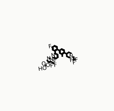 Cc1cc(-c2ccc(F)cc2-c2cccc(-n3ncc(OC(=O)O)c3C(F)(F)F)n2)ccc1C1CCN(CC(F)(F)F)CC1